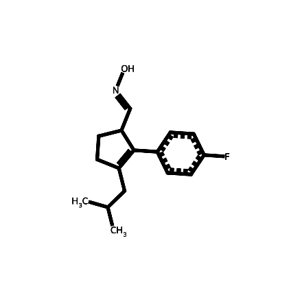 CC(C)CC1=C(c2ccc(F)cc2)C(C=NO)CC1